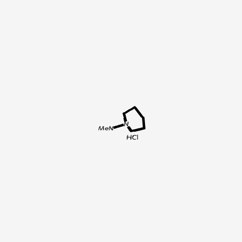 CNN1CCCCC1.Cl